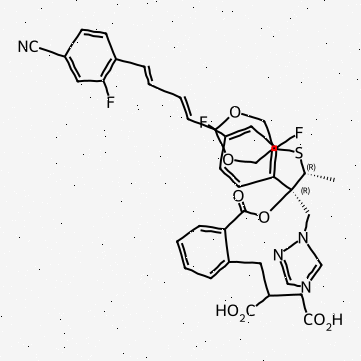 C[C@@H](SC1COC(C=CC=Cc2ccc(C#N)cc2F)OC1)[C@@](Cn1cncn1)(OC(=O)c1ccccc1CC(CC(=O)O)C(=O)O)c1ccc(F)cc1F